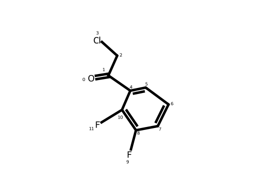 O=C(CCl)c1cccc(F)c1F